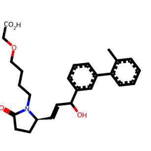 Cc1ccccc1-c1cccc(C(O)C=C[C@H]2CCC(=O)N2CCCCOCC(=O)O)c1